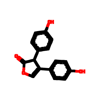 O=C1OC=C(c2ccc(O)cc2)C1c1ccc(O)cc1